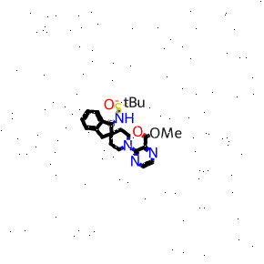 COC(=O)c1nccnc1N1CCC2(CC1)Cc1ccccc1[C@H]2N[S+]([O-])C(C)(C)C